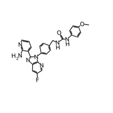 COc1ccc(NC(=O)NCc2ccc(-n3c(-c4cccnc4N)nc4cc(F)cnc43)cc2)cc1